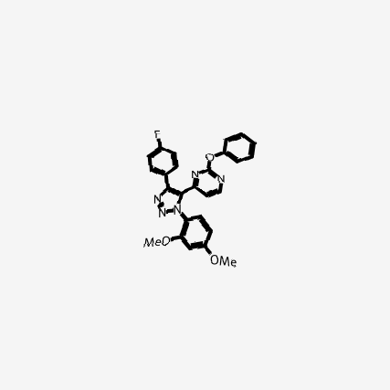 COc1ccc(-n2nnc(-c3ccc(F)cc3)c2-c2ccnc(Oc3ccccc3)n2)c(OC)c1